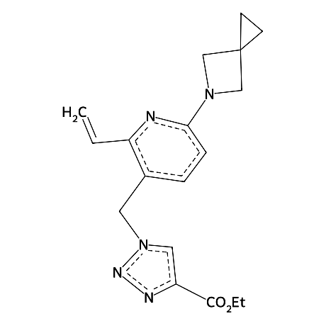 C=Cc1nc(N2CC3(CC3)C2)ccc1Cn1cc(C(=O)OCC)nn1